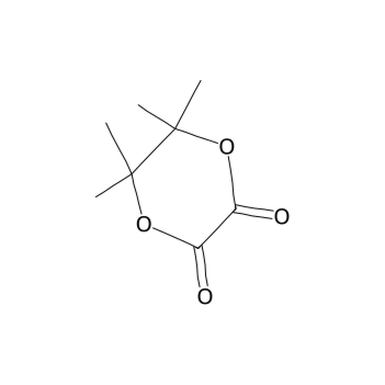 CC1(C)OC(=O)C(=O)OC1(C)C